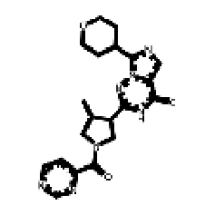 CC1CN(C(=O)c2ccncn2)CC1c1nn2c(C3CCOCC3)ncc2c(=O)[nH]1